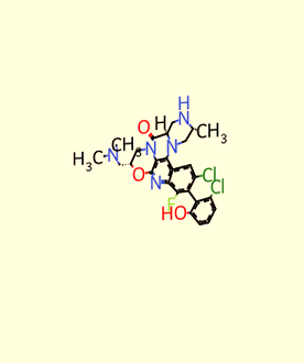 C[C@@H]1CN2c3c4c(nc5c(F)c(-c6c(O)cccc6Cl)c(Cl)cc35)O[C@H](CN(C)C)CN4C(=O)[C@H]2CN1